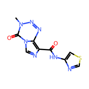 Cn1nnc2c(C(=O)Nc3cscn3)ncn2c1=O